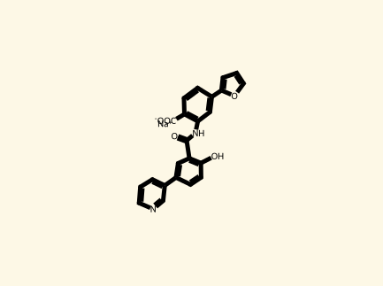 O=C(Nc1cc(-c2ccco2)ccc1C(=O)[O-])c1cc(-c2cccnc2)ccc1O.[Na+]